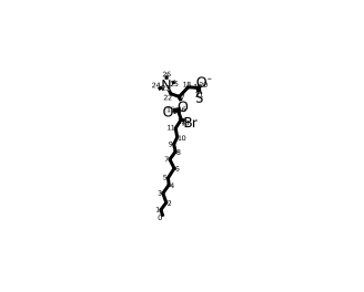 CCCCCCCCCCCCC(Br)C(=O)OC(CC([O-])=S)C[N+](C)(C)C